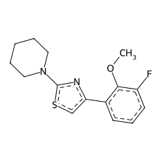 COc1c(F)cccc1-c1csc(N2CCCCC2)n1